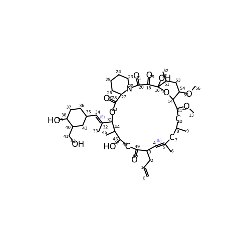 C=CCC1/C=C(\C)CC(C)CC(OC)C2OC(O)(C(=O)C(=O)N3CCCCC3C(=O)OC(/C(C)=C/C3CCC(O)C(CO)C3)C(C)C(O)CC1=O)C(C)CC2OC